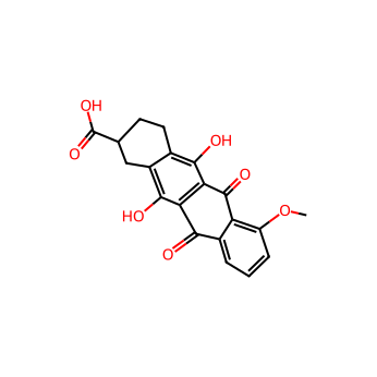 COc1cccc2c1C(=O)c1c(O)c3c(c(O)c1C2=O)CC(C(=O)O)CC3